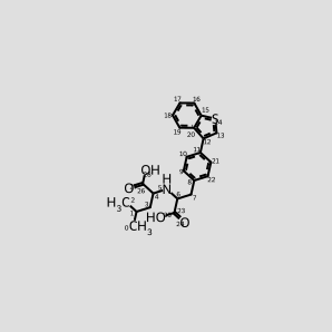 CC(C)CC(NC(Cc1ccc(-c2csc3ccccc23)cc1)C(=O)O)C(=O)O